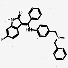 CN(Cc1ccccc1)Cc1ccc(NC(=C2C(=O)Nc3cc(F)ccc32)c2ccccc2)cc1